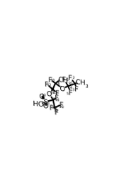 CC(F)(F)C(F)(F)OC(C)(F)C(F)(F)OC(F)(C(F)(F)F)S(=O)(=O)O